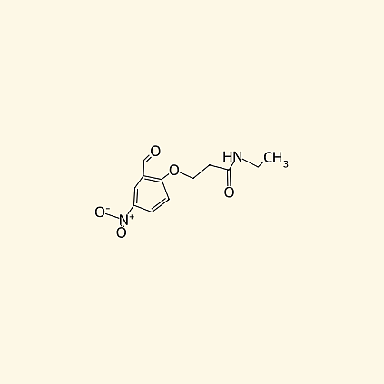 CCNC(=O)CCOc1ccc([N+](=O)[O-])cc1C=O